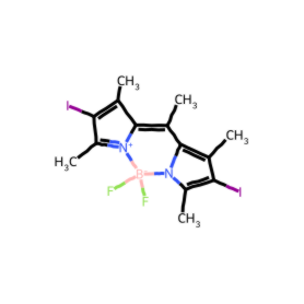 CC1=C(I)C(C)=[N+]2C1=C(C)c1c(C)c(I)c(C)n1[B-]2(F)F